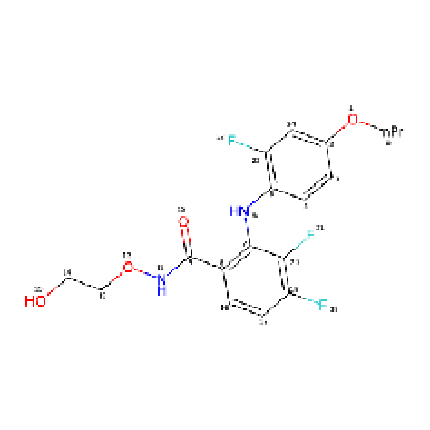 CCCOc1ccc(Nc2c(C(=O)NOCCO)ccc(F)c2F)c(F)c1